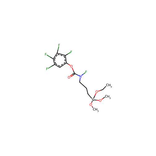 CCO[Si](CCCN(F)C(=O)Oc1cc(F)c(F)c(F)c1F)(OC)OC